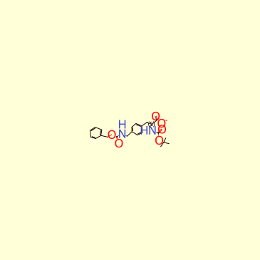 COC(=O)[C@H](Cc1ccc(CNC(=O)OCc2ccccc2)cc1)NC(=O)OC(C)(C)C